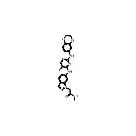 CNC(=O)Cn1ncc2ccc(Nc3nc(Nc4ccc5c(c4)OCCO5)ncc3F)cc21